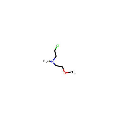 COCCN(C)CCCl